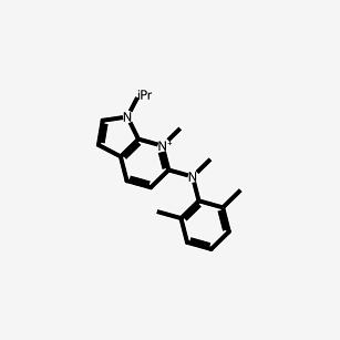 Cc1cccc(C)c1N(C)c1ccc2ccn(C(C)C)c2[n+]1C